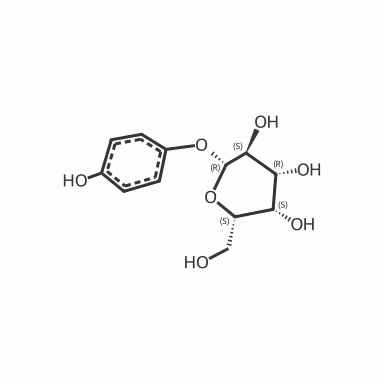 OC[C@@H]1O[C@H](Oc2ccc(O)cc2)[C@@H](O)[C@H](O)[C@@H]1O